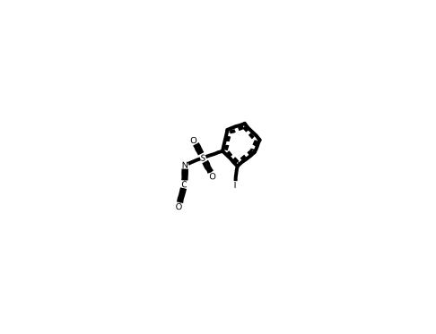 O=C=NS(=O)(=O)c1ccccc1I